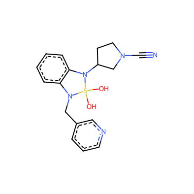 N#CN1CCC(N2c3ccccc3N(Cc3cccnc3)S2(O)O)C1